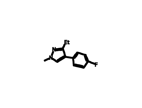 CCc1nn(C)cc1-c1ccc(F)cc1